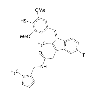 COc1cc(C=C2C(C)=C(CC(=O)NCc3cccn3C)c3cc(F)ccc32)cc(OC)c1S